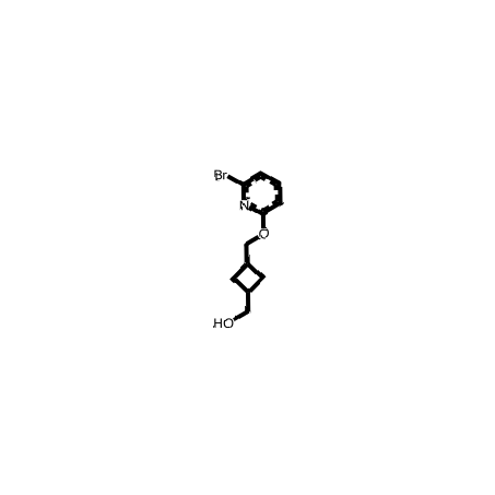 OCC1CC(COc2cccc(Br)n2)C1